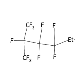 C[CH]C(F)(F)C(F)(F)C(F)(C(F)(F)F)C(F)(F)F